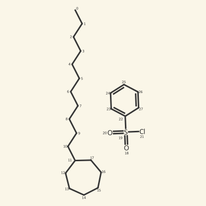 CCCCCCCCCCCC1CCCCCC1.O=S(=O)(Cl)c1ccccc1